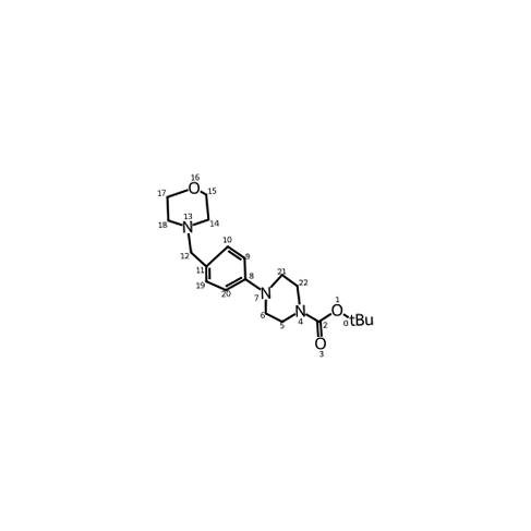 CC(C)(C)OC(=O)N1CCN(c2ccc(CN3CCOCC3)cc2)CC1